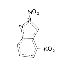 O=[N+]([O-])c1cccc2nn([N+](=O)[O-])cc12